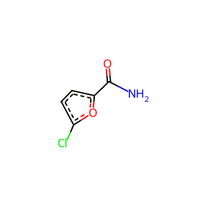 NC(=O)c1ccc(Cl)o1